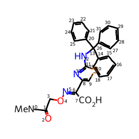 CNC(=O)CON=C(C(=O)O)c1csc(NC(c2ccccc2)(c2ccccc2)c2ccccc2)n1